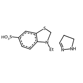 C1=NNCC1.CCN1CSc2cc(S(=O)(=O)O)ccc21